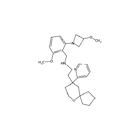 COc1cccc(N2CC(OC)C2)c1CNCCC1(c2ccccn2)CCOC2(CCCC2)C1